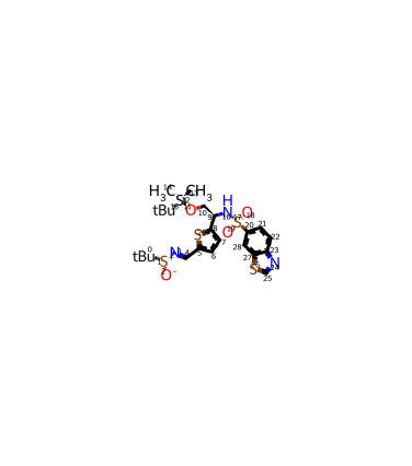 CC(C)(C)[S+]([O-])N=Cc1ccc([C@@H](CO[Si](C)(C)C(C)(C)C)NS(=O)(=O)c2ccc3ncsc3c2)s1